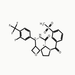 CS(=O)(=O)c1cccc(C(=O)N2CCC[C@@H]2C(=O)N[C@@H](c2ccc(C(F)(F)F)c(F)c2)C2COC2)c1